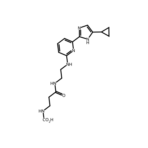 O=C(O)NCCC(=O)NCCNc1cccc(-c2ncc(C3CC3)[nH]2)n1